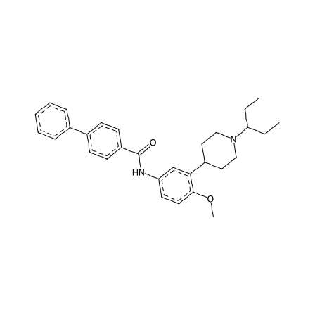 CCC(CC)N1CCC(c2cc(NC(=O)c3ccc(-c4ccccc4)cc3)ccc2OC)CC1